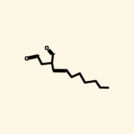 CCCCCCC=CC([C]=O)C[C]=O